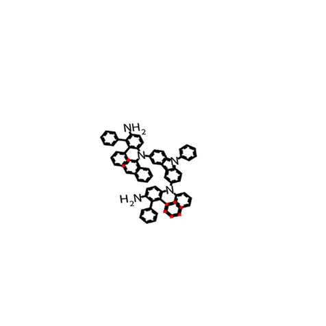 Nc1ccc(N(c2ccc3c(c2)c2cc(N(c4ccc(N)c(-c5ccccc5)c4-c4ccccc4)c4cccc5ccccc45)ccc2n3-c2ccccc2)c2cccc3ccccc23)c(-c2ccccc2)c1-c1ccccc1